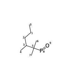 CCCC(C)C(C)(C)P=O